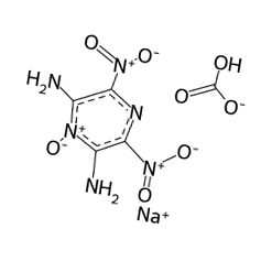 Nc1c([N+](=O)[O-])nc([N+](=O)[O-])c(N)[n+]1[O-].O=C([O-])O.[Na+]